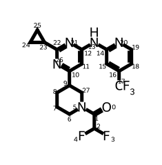 O=C(C(F)F)N1CCCC(c2cc(Nc3cc(C(F)(F)F)ccn3)nc(C3CC3)n2)C1